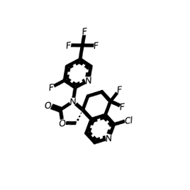 O=C1OC[C@@]2(CCC(F)(F)c3c2ccnc3Cl)N1c1ncc(C(F)(F)F)cc1F